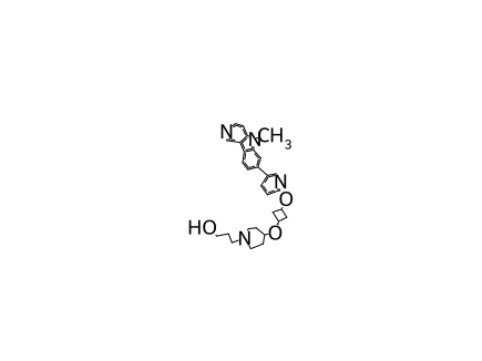 Cn1c2ccncc2c2ccc(-c3ccc(O[C@H]4C[C@H](OC5CCN(CCCO)CC5)C4)nc3)cc21